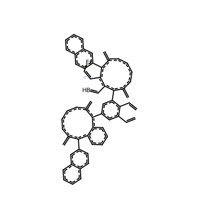 B=Cc1c(/C=C\CC)c(-c2ccc3ccccc3c2)c(=C)ccccc(=C)c1-c1cc(-c2c(=C)ccccc(=C)c(-c3ccc4ccccc4c3)c3ccccc23)cc(C=C)c1C=C